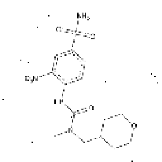 CN(CC1CCOCC1)C(=O)Nc1ccc(S(N)(=O)=O)cc1[N+](=O)[O-]